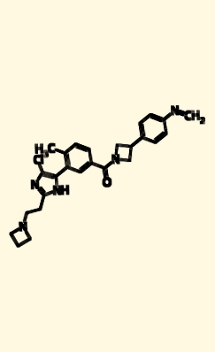 C=Nc1ccc(C2CN(C(=O)c3ccc(C)c(-c4[nH]c(CCN5CCC5)nc4Cl)c3)C2)cc1